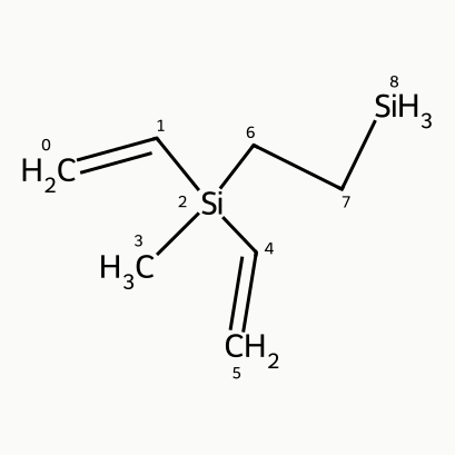 C=C[Si](C)(C=C)CC[SiH3]